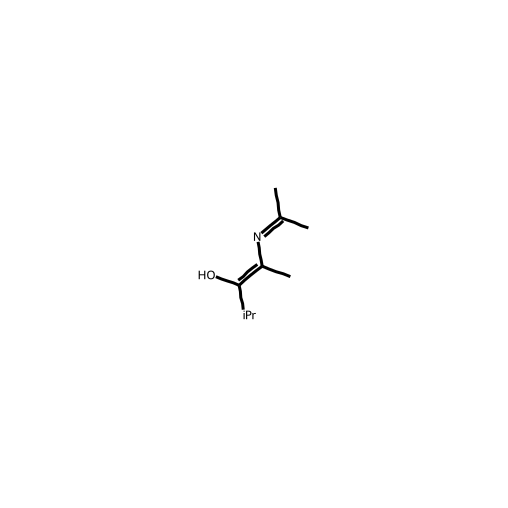 CC(C)=N/C(C)=C(\O)C(C)C